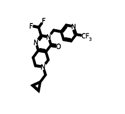 O=c1c2c(nc(C(F)F)n1Cc1ccc(C(F)(F)F)nc1)CCN(CC1CC1)C2